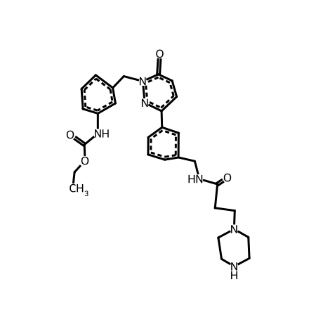 CCOC(=O)Nc1cccc(Cn2nc(-c3cccc(CNC(=O)CCN4CCNCC4)c3)ccc2=O)c1